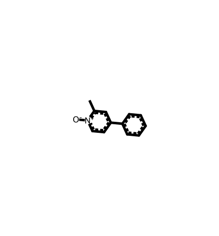 Cc1cc(-c2ccccc2)cc[n+]1[O-]